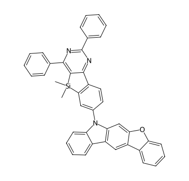 C[Si]1(C)c2cc(-n3c4ccccc4c4cc5c(cc43)oc3ccccc35)ccc2-c2nc(-c3ccccc3)nc(-c3ccccc3)c21